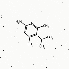 Cc1cc(N)nc(C)c1C(C)C